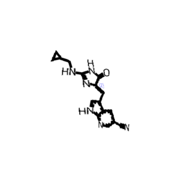 N#Cc1cnc2[nH]cc(/C=C3\N=C(NCC4CC4)NC3=O)c2c1